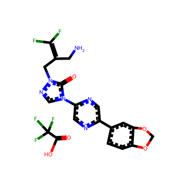 NCC(Cn1ncn(-c2cnc(-c3ccc4c(c3)OCO4)cn2)c1=O)=C(F)F.O=C(O)C(F)(F)F